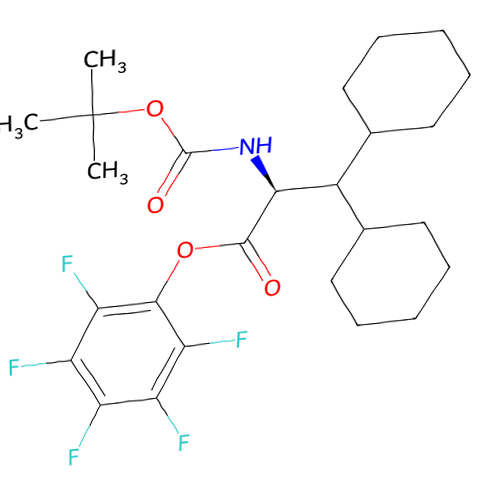 CC(C)(C)OC(=O)N[C@H](C(=O)Oc1c(F)c(F)c(F)c(F)c1F)C(C1CCCCC1)C1CCCCC1